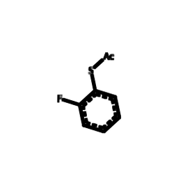 CC(=O)Sc1ccccc1F